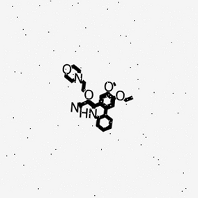 CCOc1cc2c(cc1OC)C(=C(C#N)OCCN1CCOCC1)NC1CCCCC21